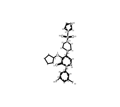 O=c1c(OC2CCCC2)c(N2CCN(S(=O)(=O)n3ccnc3)CC2)cnn1-c1cc(F)cc(F)c1